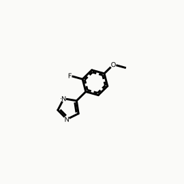 COc1ccc(C2=CN=C[N]2)c(F)c1